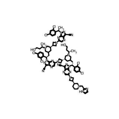 C[C@H](CCO)N1CC(C[C@H](c2ccc(Cl)cc2Cl)n2nc(C#N)c3ncc(N4CC([C@H]5CC(C[C@H](c6ccc(Cl)cc6Cl)n6nc(C#N)c7ncc(N8CC([C@@H]9CCCN(Cc%10ncc[nH]%10)C9)C8)nc76)CN([C@@H](C)CCO)C5)C4)nc32)C[C@H](C2CN(c3cnc4c(C#N)nn([C@H](C)c5ccc(Cl)cc5Cl)c4n3)C2)C1